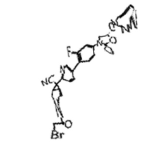 N#CC1(c2ccc(-c3ccc(N4C[C@H](Cn5ccnn5)OC4=O)cc3F)cn2)C2CN(C(=O)CBr)CC21